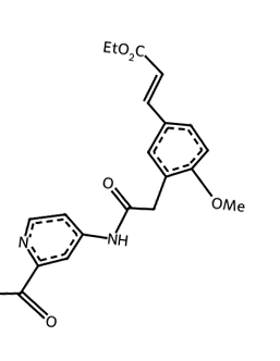 CCOC(=O)/C=C/c1ccc(OC)c(CC(=O)Nc2ccnc(C(=O)NC(C)(C)C)c2)c1